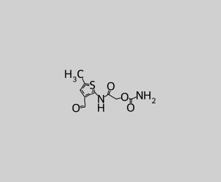 Cc1cc(C=O)c(NC(=O)COC(N)=O)s1